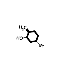 C=C1CC[C@H](C(C)C)C[C@@H]1O